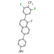 CCCc1ccc(-c2ccc3c(F)c(-c4cc(F)c(C(F)(F)F)c(F)c4)ccc3c2)cc1